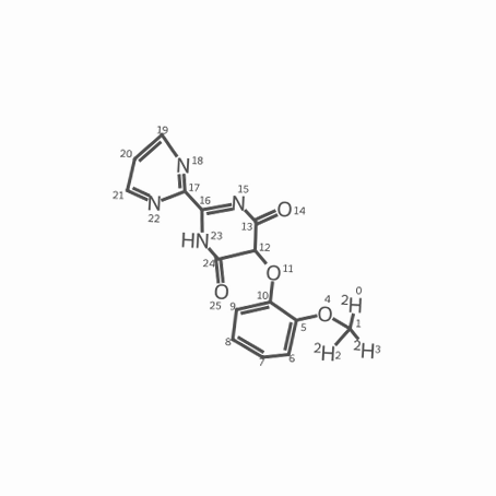 [2H]C([2H])([2H])Oc1ccccc1OC1C(=O)N=C(c2ncccn2)NC1=O